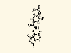 Cc1ccc2c(c1CNC(=O)c1cc(F)c(OC(F)F)c(F)c1)N(C)CN2C